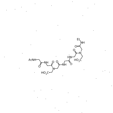 CCNC(=O)CN(CC(=O)O)C(=O)CNC(=O)CNC(=O)CN(CC(=O)O)C(=O)CNC(=O)CNC(C)=O